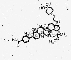 COC(C)(C)[C@@H]1CC[C@]2(NCCN3CCS(O)(O)CC3)CC[C@]3(C)[C@H](CC[C@@H]4[C@@]5(C)CC=C(c6ccc(C(=O)O)cc6)C(C)(C)[C@@H]5CC[C@]43C)[C@@H]12